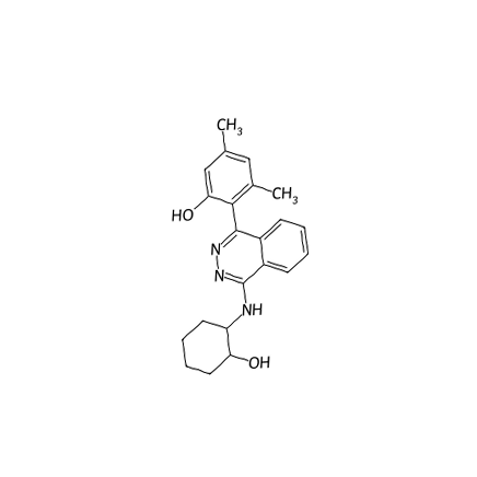 Cc1cc(C)c(-c2nnc(NC3CCCCC3O)c3ccccc23)c(O)c1